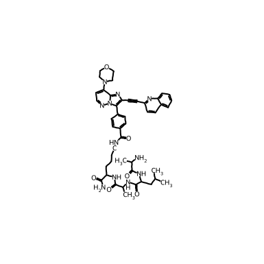 CC(C)CC(NC(=O)C(C)N)C(=O)NC(C)C(=O)NC(CCCCNC(=O)c1ccc(-c2c(C#Cc3ccc4ccccc4n3)nc3c(N4CCOCC4)ccnn23)cc1)C(N)=O